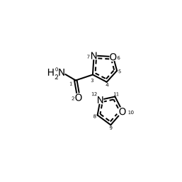 NC(=O)c1ccon1.c1cocn1